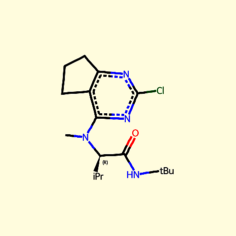 CC(C)[C@H](C(=O)NC(C)(C)C)N(C)c1nc(Cl)nc2c1CCC2